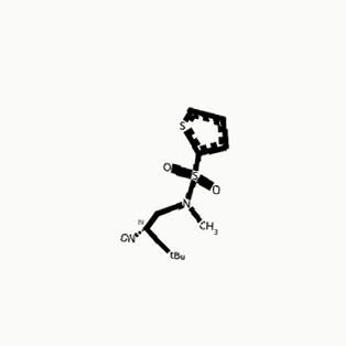 CN(C[C@@H](N=O)C(C)(C)C)S(=O)(=O)c1cccs1